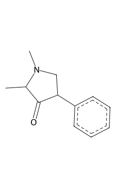 CC1C(=O)C(c2ccccc2)CN1C